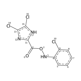 O=C(ONc1ccccc1Cl)c1nc(Cl)c(Cl)[nH]1